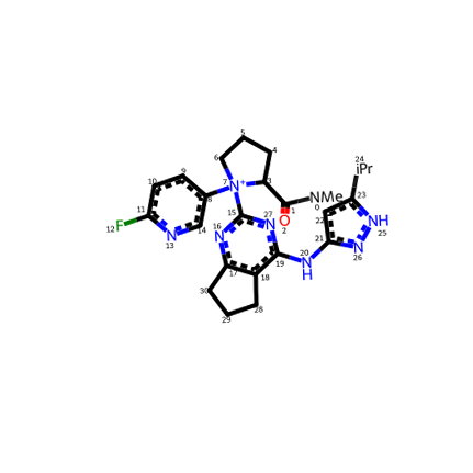 CNC(=O)C1CCC[N+]1(c1ccc(F)nc1)c1nc2c(c(Nc3cc(C(C)C)[nH]n3)n1)CCC2